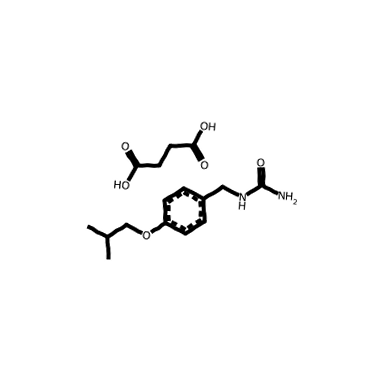 CC(C)COc1ccc(CNC(N)=O)cc1.O=C(O)CCC(=O)O